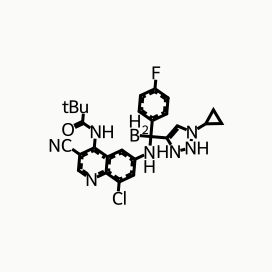 BC(Nc1cc(Cl)c2ncc(C#N)c(NC(=O)C(C)(C)C)c2c1)(C1=CN(C2CC2)NN1)c1ccc(F)cc1